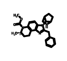 COC(=O)N1c2ccc3c(nc(Cc4ccccc4)n3C3C4CCC3NC4)c2CC[C@@H]1C